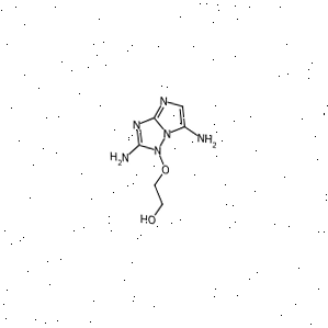 Nc1nc2ncc(N)n2n1OCCO